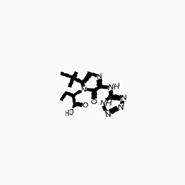 CCC(C(=O)O)n1c(C(C)(C)C)cnc(Nc2nnn[nH]2)c1=O